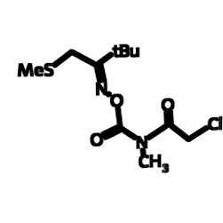 CSCC(=NOC(=O)N(C)C(=O)CCl)C(C)(C)C